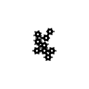 c1ccc(-c2cccc(-n3c4ccccc4c4ccc5c(c6ccccc6n5-c5ccccc5-c5ccc6c7ccccc7c7ccccc7c6c5)c43)c2)cc1